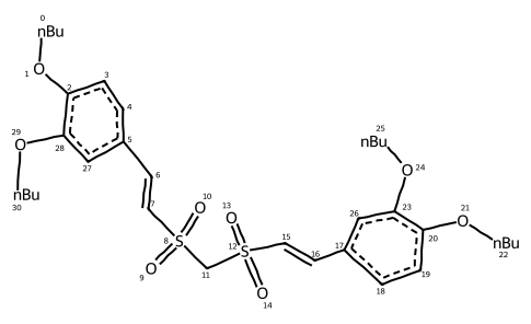 CCCCOc1ccc(/C=C/S(=O)(=O)CS(=O)(=O)/C=C/c2ccc(OCCCC)c(OCCCC)c2)cc1OCCCC